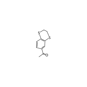 CC(=O)c1ccc2c(c1)SCCS2